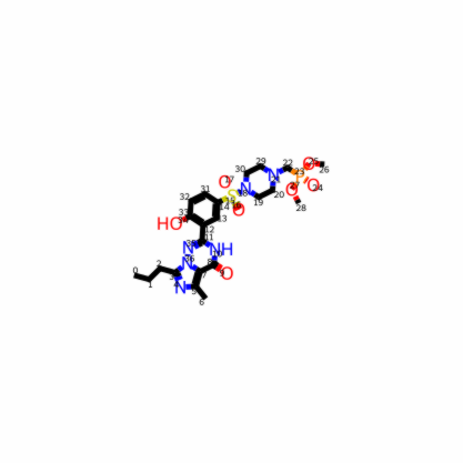 CCCc1nc(C)c2c(=O)[nH]c(-c3cc(S(=O)(=O)N4CCN(CP(=O)(OC)OC)CC4)ccc3O)nn12